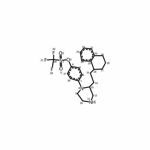 O=S(=O)(Oc1ccc(N2CCNCC2CCC2CCCc3ccccc32)cc1)C(F)(F)F